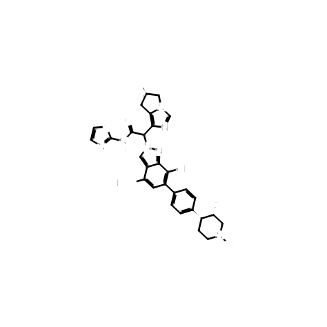 CCN1CC[C@@H](c2ccc(-c3cc(C)c4cn(C(C(=O)Nc5nccs5)c5ncn6c5C[C@@H](F)C6)nc4c3C)cc2)[C@H](F)C1